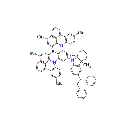 CC(C)(C)c1ccc2c(c1)B1c3cc(C(C)(C)C)ccc3N(c3ccc(C(C)(C)C)cc3-c3ccccc3)c3cc(N4c5ccc(C(Cc6ccccc6)c6ccccc6)cc5C5(C)CCCCC45C)cc(c31)N2c1ccc(C(C)(C)C)cc1-c1ccccc1